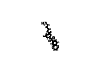 CC(C)CN(CC(C)(C)CCCCN)S(=O)(=O)c1ccc2c(c1)OCCO2